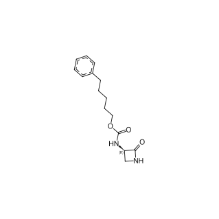 O=C(N[C@@H]1CNC1=O)OCCCCCc1ccccc1